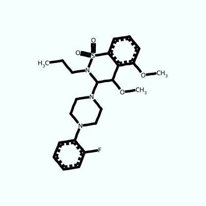 CCCN1C(N2CCN(c3ccccc3F)CC2)C(OC)c2c(OC)cccc2S1(=O)=O